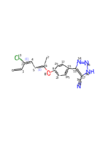 C=C/C(Cl)=C\C=C(/C)Oc1ccc(-c2nn[nH]c2C#N)cc1